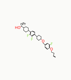 C=CCCOc1ccc(COC2CCC(c3ccc(C4CCC(C(O)CCC)CC4)c(F)c3F)CC2)cc1F